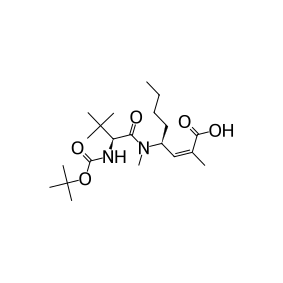 CCCC[C@@H](C=C(C)C(=O)O)N(C)C(=O)[C@@H](NC(=O)OC(C)(C)C)C(C)(C)C